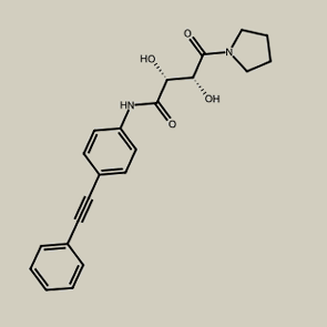 O=C(Nc1ccc(C#Cc2ccccc2)cc1)[C@H](O)[C@@H](O)C(=O)N1CCCC1